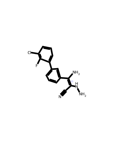 N#C/C(NN)=C(/N)c1cccc(-c2cccc(Cl)c2F)c1